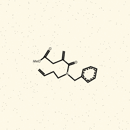 C=CCCN(Cc1ccccc1)C(=O)C(=C)CC(=O)OC